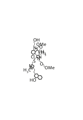 COCCOCCn1nc(C)c(-c2c(Cl)ccc3c2c(C)c(C(=O)OC)n3CCCO)c1CSCc1cc(CCc2cc(O)c3ccccc3c2)n(C)n1